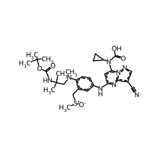 CN(CC(C)(C)NC(=O)OC(C)(C)C)c1ccc(Nc2cc(N(C(=O)O)C3CC3)n3ncc(C#N)c3n2)cc1C[S+](C)[O-]